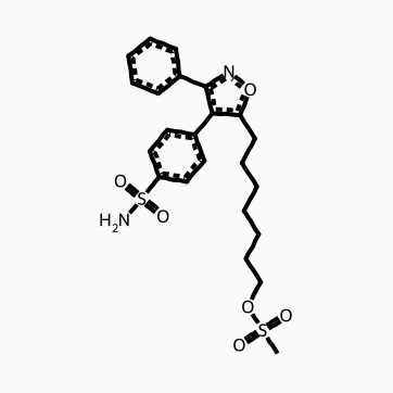 CS(=O)(=O)OCCCCCCCc1onc(-c2ccccc2)c1-c1ccc(S(N)(=O)=O)cc1